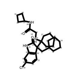 O=C(CNC1(C2(CC3CCCCC3)C(=O)Nc3cc(Cl)ccc32)CCCCC1)NC1CCC1